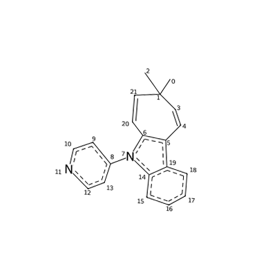 CC1(C)C=Cc2c(n(-c3ccncc3)c3ccccc23)C=C1